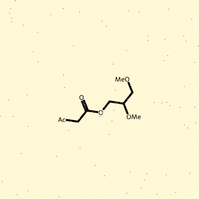 COCC(COC(=O)CC(C)=O)OC